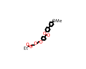 CCC(=O)OCCOCCOc1ccc(C(=O)Oc2ccc(-c3ccc(OC)cc3)cc2)cc1